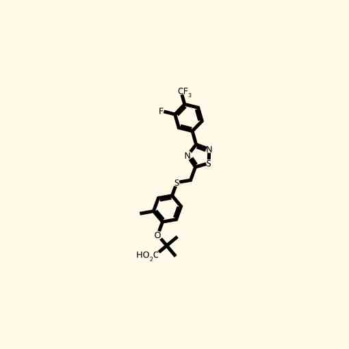 Cc1cc(SCc2nc(-c3ccc(C(F)(F)F)c(F)c3)ns2)ccc1OC(C)(C)C(=O)O